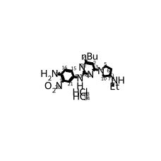 CCCCc1cc(N2CC[C@H](NCC)C2)nc(Nc2ccc(N)c([N+](=O)[O-])c2)n1.Cl.Cl